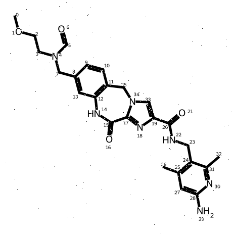 COCCN(C=O)Cc1ccc2c(c1)NC(=O)c1nc(C(=O)NCc3c(C)cc(N)nc3C)cn1C2